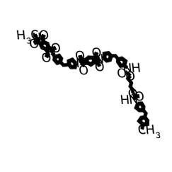 Cc1ccc(Cc2ccc(NC(=O)OCCCCOC(=O)Nc3ccc(Cc4ccc(-n5c(=O)c6cc7c(=O)n(-c8ccc(Cc9ccc(-n%10c(=O)c%11cc%12c(=O)n(C)c(=O)c%12cc%11c%10=O)cc9)cc8)c(=O)c7cc6c5=O)cc4)cc3)cc2)cc1